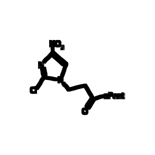 CCCCCC(=O)CCn1cc([N+](=O)[O-])nc1Cl